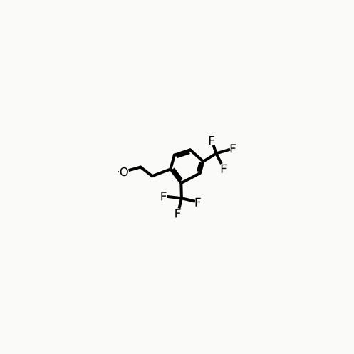 [O]CCc1ccc(C(F)(F)F)cc1C(F)(F)F